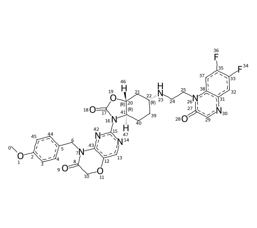 COc1ccc(CN2C(=O)COc3cnc(N4C(=O)O[C@@H]5C[C@H](NCCn6c(=O)cnc7cc(F)c(F)cc76)CC[C@H]54)nc32)cc1